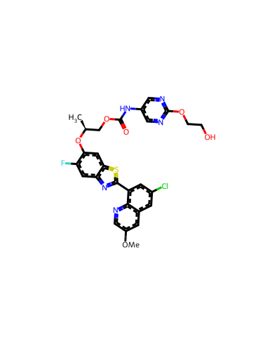 COc1cnc2c(-c3nc4cc(F)c(O[C@@H](C)COC(=O)Nc5cnc(OCCO)nc5)cc4s3)cc(Cl)cc2c1